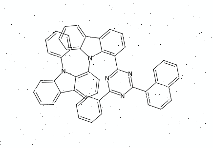 c1ccc(-c2nc(-c3cccc4ccccc34)nc(-c3cccc4c5ccccc5n(-c5cccc6c7ccccc7n(-c7ccccc7)c56)c34)n2)cc1